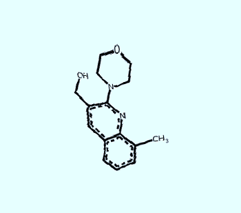 Cc1cccc2cc(CO)c(N3CCOCC3)nc12